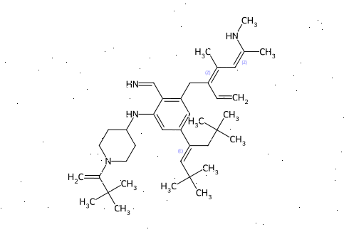 C=C/C(Cc1cc(/C(=C/C(C)(C)C)CC(C)(C)C)cc(NC2CCN(C(=C)C(C)(C)C)CC2)c1C=N)=C(C)\C=C(\C)NC